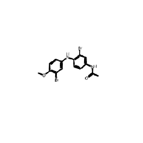 COc1ccc(Nc2ccc(NC(C)=O)cc2Br)cc1Br